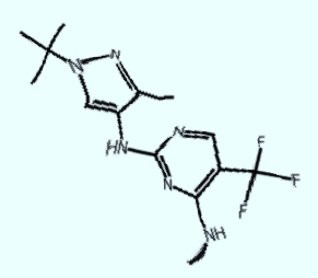 CNc1nc(Nc2cn(C(C)(C)C)nc2C)ncc1C(F)(F)F